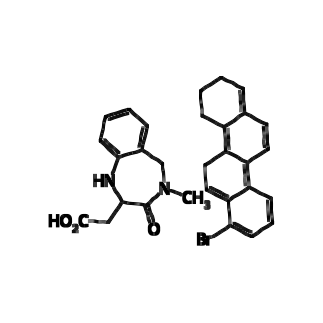 Brc1cccc2c1=CCc1c3c(ccc1=2)=CCCC3.CN1Cc2ccccc2NC(CC(=O)O)C1=O